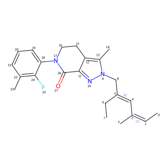 C/C=C(C)\C=C(/CC)Cn1nc2c(c1C)CCN(c1cccc(C)c1F)C2=O